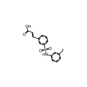 O=C(O)C=Cc1cccc(S(=O)(=O)Nc2cccc(F)c2)c1